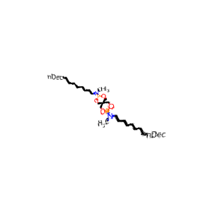 CCCCCCCCCCCCCCCCCCN(C)P1OCC2(CO1)COP(N(C)CCCCCCCCCCCCCCCCCC)OC2